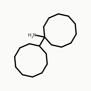 NC1(C2CCCCCCCCC2)CCCCCCCCC1